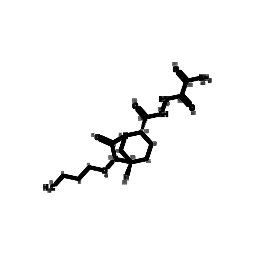 CCCCON1C(=O)N2C[C@@H]1CC[C@H]2C(=O)NNC(=O)C(N)=O